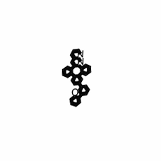 c1ccc2c(c1)-c1ccc(-c3cccc4c3oc3ccccc34)cc1-c1ccccc1-c1nc3ncccc3cc1-2